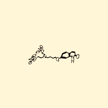 CS(=O)(=O)OCCN(CCCCOc1ccc2ccc(=O)[nH]c2c1)CCOS(C)(=O)=O